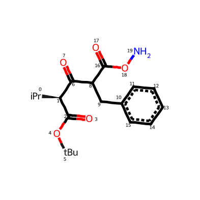 CC(C)[C@H](C(=O)OC(C)(C)C)C(=O)C(Cc1ccccc1)C(=O)ON